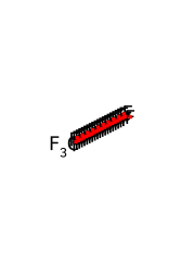 F[C](F)C(F)(F)C(F)(F)C(F)(F)C(F)(F)C(F)(F)C(F)(F)C(F)(F)C(F)(F)C(F)(F)C(F)(F)C(F)(F)C(F)(F)C(F)(F)C(F)(F)C(F)(F)C(F)(F)C(F)(F)C(F)(F)C(F)(F)C(F)(F)C(F)(F)F